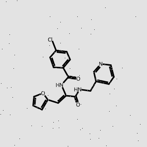 O=C(NCc1cccnc1)/C(=C/c1ccco1)NC(=O)c1ccc(Cl)cc1